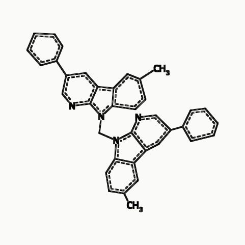 Cc1ccc2c(c1)c1cc(-c3ccccc3)cnc1n2Cn1c2ccc(C)cc2c2cc(-c3ccccc3)cnc21